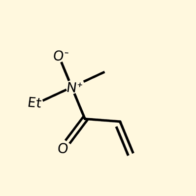 C=CC(=O)[N+](C)([O-])CC